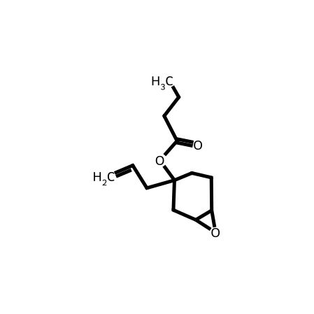 C=CCC1(OC(=O)CCC)CCC2OC2C1